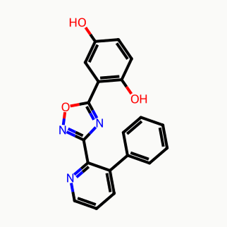 Oc1ccc(O)c(-c2nc(-c3ncccc3-c3ccccc3)no2)c1